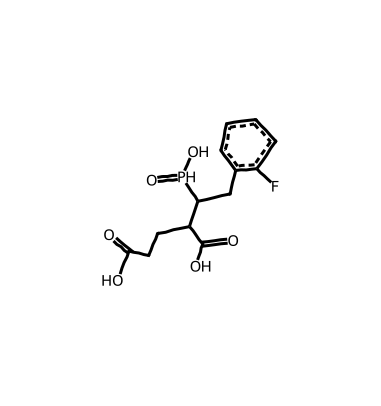 O=C(O)CCC(C(=O)O)C(Cc1ccccc1F)[PH](=O)O